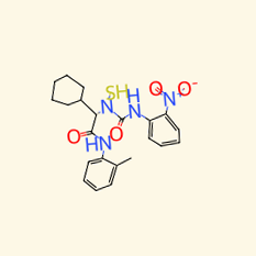 Cc1ccccc1NC(=O)[C@H](C1CCCCC1)N(S)C(=O)Nc1ccccc1[N+](=O)[O-]